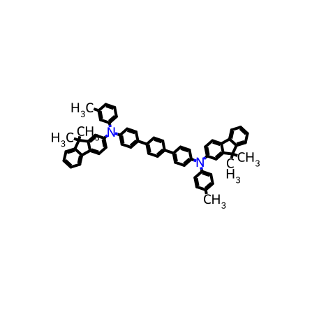 Cc1ccc(N(c2ccc(-c3ccc(-c4ccc(N(c5cccc(C)c5)c5ccc6c(c5)C(C)(C)c5ccccc5-6)cc4)cc3)cc2)c2ccc3c(c2)C(C)(C)c2ccccc2-3)cc1